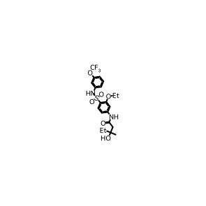 CCOc1cc(NC(=O)CC(C)(O)CC)ccc1S(=O)(=O)Nc1cccc(OC(F)(F)F)c1